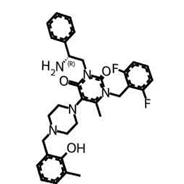 Cc1cccc(CN2CCN(c3c(C)n(Cc4c(F)cccc4F)c(=O)n(C[C@H](N)c4ccccc4)c3=O)CC2)c1O